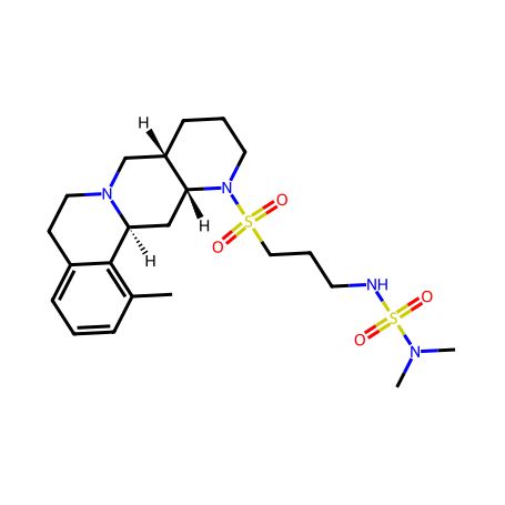 Cc1cccc2c1[C@@H]1C[C@@H]3[C@@H](CCCN3S(=O)(=O)CCCNS(=O)(=O)N(C)C)CN1CC2